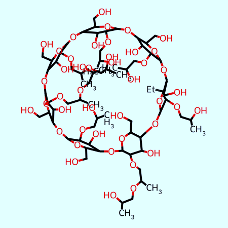 CCC1OC2OC3C(CO)OC(OC4C(CO)OC(OC5C(CO)OC(OC6C(CO)OC(OC7C(CO)OC(OC8C(CO)OC(OC1C(O)C2OCC(C)O)C(OCC(C)O)C8O)C(OCC(C)O)C7O)C(OCC(C)OCC(C)O)C6O)C(OCC(C)OCC(C)O)C5O)C(OCC(C)O)C4O)C(OCC(C)OCC(C)O)C3O